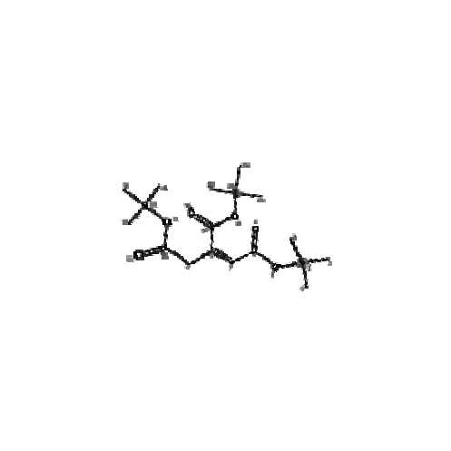 C[Si](C)(C)OC(=O)C=C(CC(=O)O[Si](C)(C)C)C(=O)O[Si](C)(C)C